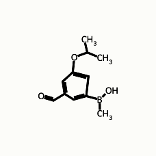 CB(O)c1cc(C=O)cc(OC(C)C)c1